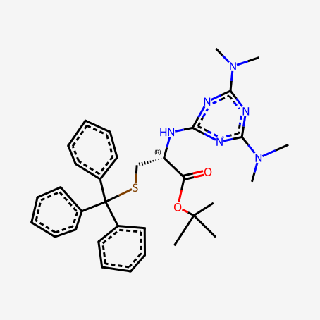 CN(C)c1nc(N[C@@H](CSC(c2ccccc2)(c2ccccc2)c2ccccc2)C(=O)OC(C)(C)C)nc(N(C)C)n1